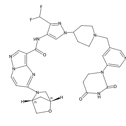 O=C1CCN(c2cncc(CN3CCC(n4cc(NC(=O)c5cnn6ccc(N7C[C@H]8C[C@@H]7CO8)nc56)c(C(F)F)n4)CC3)c2)C(=O)N1